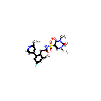 COc1cc(-c2cc(F)cc(C(C)C)c2CC(=O)NS(=O)(=O)C2=CN(C)C(=O)N(C)C2O)ccn1